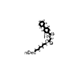 CCCCCCCCCCCCCCCCOC(=O)CNC(=O)c1ccc(-c2ccccc2)cc1